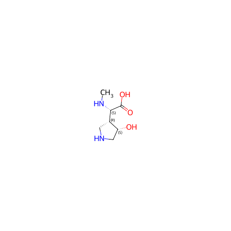 CN[C@H](C(=O)O)[C@H]1CNC[C@H]1O